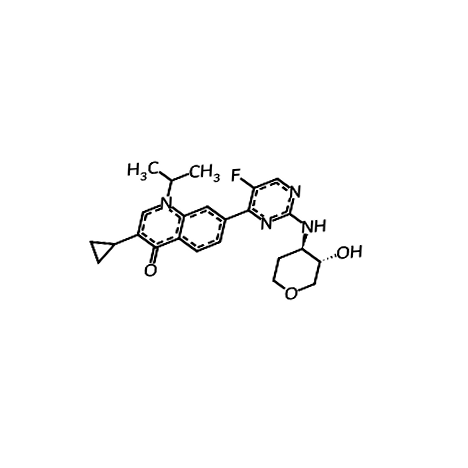 CC(C)n1cc(C2CC2)c(=O)c2ccc(-c3nc(N[C@@H]4CCOC[C@H]4O)ncc3F)cc21